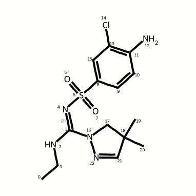 CCN/C(=N/S(=O)(=O)c1ccc(N)c(Cl)c1)N1CC(C)(C)C=N1